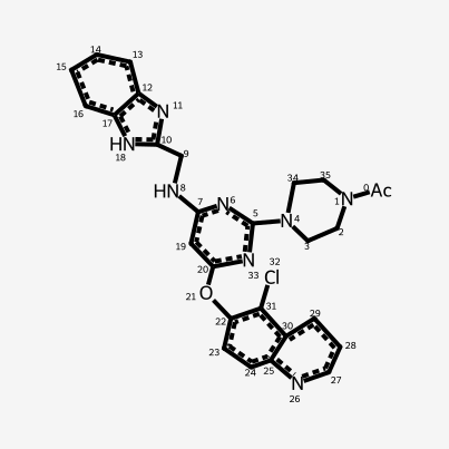 CC(=O)N1CCN(c2nc(NCc3nc4ccccc4[nH]3)cc(Oc3ccc4ncccc4c3Cl)n2)CC1